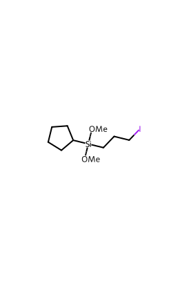 CO[Si](CCCI)(OC)C1CCCC1